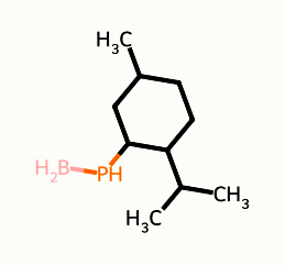 BPC1CC(C)CCC1C(C)C